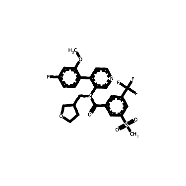 COc1cc(F)ccc1-c1ccncc1N(CC1CCOC1)C(=O)c1cc(C(F)(F)F)cc(S(C)(=O)=O)c1